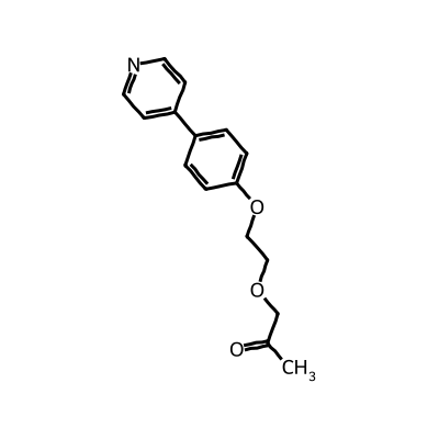 CC(=O)COCCOc1ccc(-c2ccncc2)cc1